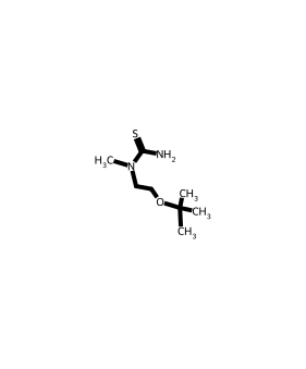 CN(CCOC(C)(C)C)C(N)=S